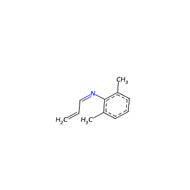 C=C/C=N\c1c(C)cccc1C